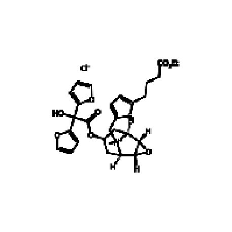 CCOC(=O)CCCc1ccc(C[N+]2(C)[C@@H]3C[C@@H](OC(=O)C(O)(c4ccco4)c4ccco4)C[C@H]2[C@@H]2O[C@@H]23)s1.[Cl-]